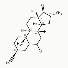 C#C[C@H]1CC[C@@]2(C)C(=C(Cl)C[C@@H]3[C@@H]2CC[C@]2(C)C(=O)[C@H](C)C[C@@H]32)C1